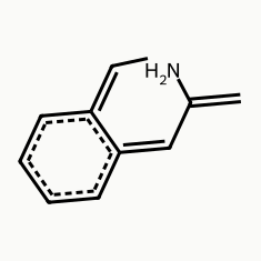 C=C(N)/C=c1/cccc/c1=C/C